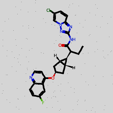 CCC(C(=O)Nc1nc2ccc(Cl)cn2n1)[C@H]1[C@@H]2C[C@@H](Oc3ccnc4ccc(F)cc34)C[C@@H]21